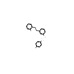 CCCc1ccc(S(=O)(=O)Nc2cccc(CCc3ccccc3C(=O)O)c2)cc1